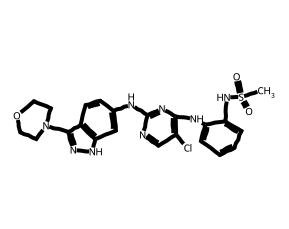 CS(=O)(=O)Nc1ccccc1Nc1nc(Nc2ccc3c(N4CCOCC4)n[nH]c3c2)ncc1Cl